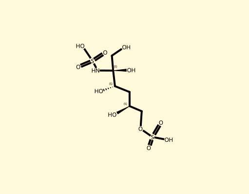 O=S(=O)(O)N[C@](O)(CO)[C@@H](O)C[C@H](O)COS(=O)(=O)O